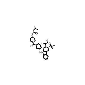 CC(C)CC(=O)OC1CCN(C(=O)c2ccc([C@H]3c4[nH]c5ccccc5c4C[C@H](C(=O)N(C)C)N3C(=O)CCl)cc2)CC1